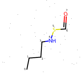 CCCCNS[C]=O